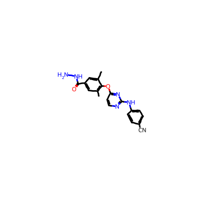 Cc1cc(C(=O)NN)cc(C)c1Oc1ccnc(Nc2ccc(C#N)cc2)n1